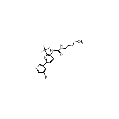 CSCCCNC(=O)Nc1ccc(-c2cncc(F)c2)nc1C(F)(F)F